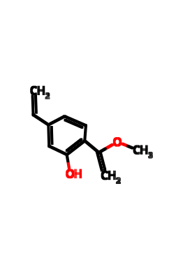 C=Cc1ccc(C(=C)OC)c(O)c1